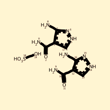 NC(=O)c1c[nH]nc1N.NC(=O)c1c[nH]nc1N.O=S(=O)(O)O